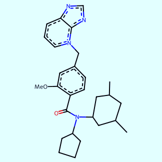 COc1cc(Cn2cccc3ncnc2-3)ccc1C(=O)N(C1CCCC1)C1CC(C)CC(C)C1